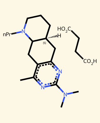 CCCN1CCC[C@H]2Cc3nc(N(C)C)nc(C)c3CC21.O=C(O)CCC(=O)O